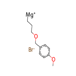 COc1ccc(COCC[CH2][Mg+])cc1.[Br-]